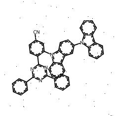 N#Cc1ccc(-c2nc(-c3ccccc3)nc(-c3ccccc3)n2)c(-n2c3ccccc3c3cc(-n4c5ccccc5c5ccccc54)ccc32)c1